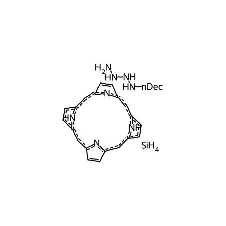 C1=Cc2cc3ccc(cc4nc(cc5ccc(cc1n2)[nH]5)C=C4)[nH]3.CCCCCCCCCCNNNN.[SiH4]